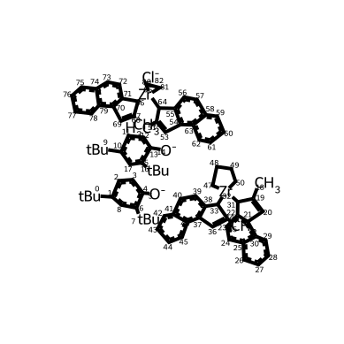 CC(C)(C)c1ccc([O-])c(C(C)(C)C)c1.CC(C)(C)c1ccc([O-])c(C(C)(C)C)c1.CC1=Cc2c(ccc3ccccc23)[CH]1[Zr]1([CH]2C(C)=Cc3c2ccc2ccccc32)[CH2]CC[CH2]1.CC1=Cc2c(ccc3ccccc23)[CH]1[Zr]1([CH]2C(C)=Cc3c2ccc2ccccc32)[CH2][CH2]1.[Cl-]